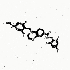 CCOc1cc(F)c(CN2CCSc3cc(C(=O)NCc4c(F)cc(F)cc4F)ccc32)c(F)c1